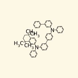 CC1(C)CCC(C)(C)c2cc(N(c3ccccc3)c3cccc(-c4ccc(N(c5ccccc5)c5cccc(-c6ccccc6)c5)cc4)c3)ccc21